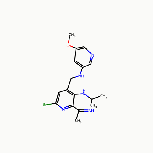 COc1cncc(NCc2cc(Br)nc(C(C)=N)c2NC(C)C)c1